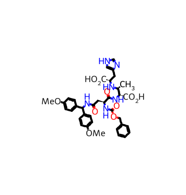 COc1ccc(C(NC(=O)C[C@H](NC(=O)OCc2ccccc2)C(=O)N[C@@H](C(=O)O)[C@H](C)N[C@@H](Cc2c[nH]cn2)C(=O)O)c2ccc(OC)cc2)cc1